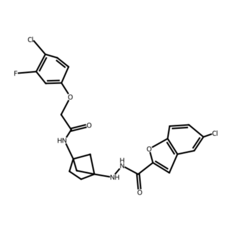 O=C(COc1ccc(Cl)c(F)c1)NC12CCC(NNC(=O)c3cc4cc(Cl)ccc4o3)(C1)C2